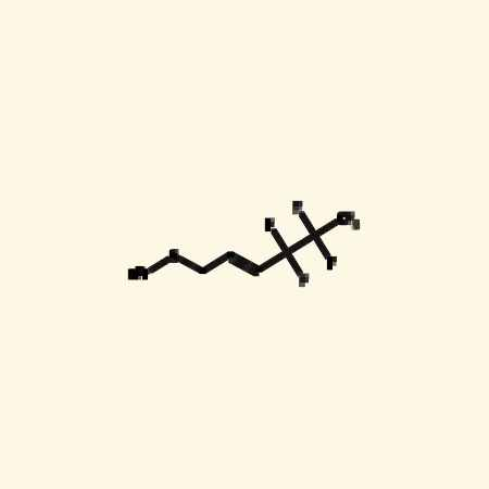 [CH2]CCSCC=CC(F)(F)C(F)(F)C(F)(F)F